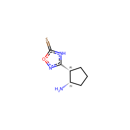 N[C@H]1CCC[C@H]1c1noc(=S)[nH]1